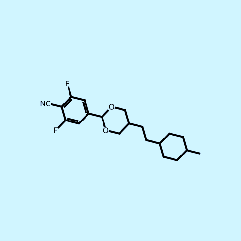 CC1CCC(CCC2COC(c3cc(F)c(C#N)c(F)c3)OC2)CC1